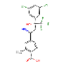 Cc1cc(C(=N)CC(O)(c2cc(Cl)cc(Cl)c2)C(F)(F)F)ccc1C(=O)O